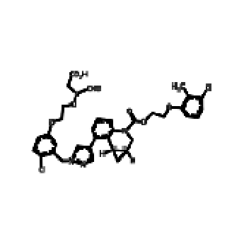 Cc1c(Cl)cccc1OCCOC(=O)N1C[C@@H]2C[C@@H]2c2c(-c3cnn(Cc4cc(OCCON(C=O)CC(=O)O)ccc4Cl)c3)cccc21